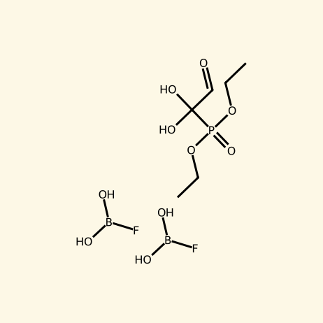 CCOP(=O)(OCC)C(O)(O)C=O.OB(O)F.OB(O)F